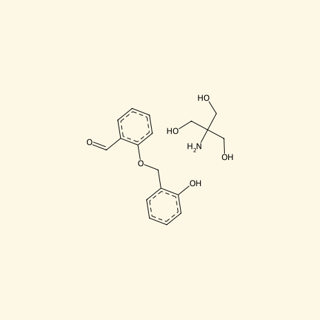 NC(CO)(CO)CO.O=Cc1ccccc1OCc1ccccc1O